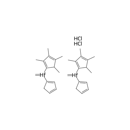 Cl.Cl.[CH2]=[Hf]([C]1=CC=CC1)[C]1=C(C)C(C)=C(C)C1C.[CH2]=[Hf]([C]1=CC=CC1)[C]1=C(C)C(C)=C(C)C1C